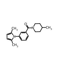 Cc1ccc(C)n1-c1cccc(C(=O)N2CCC(C)CC2)c1